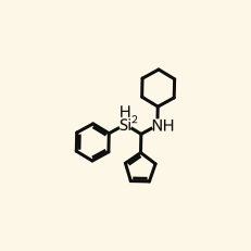 C1=CCC(C(NC2CCCCC2)[SiH2]c2ccccc2)=C1